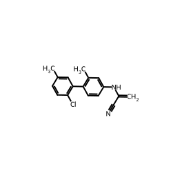 C=C(C#N)Nc1ccc(-c2cc(C)ccc2Cl)c(C)c1